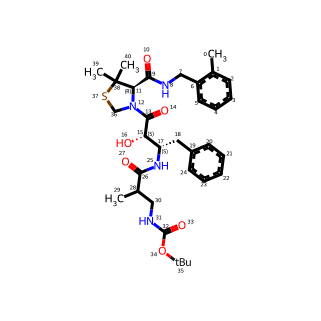 Cc1ccccc1CNC(=O)[C@H]1N(C(=O)[C@@H](O)[C@H](Cc2ccccc2)NC(=O)C(C)CNC(=O)OC(C)(C)C)CSC1(C)C